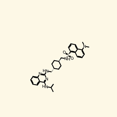 CC(C)Nc1nc(NC[C@H]2CC[C@H](CNS(=O)(=O)c3cccc4c(N(C)C)cccc34)CC2)nc2ccccc12